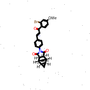 COc1ccc(C(=O)/C=C/c2ccc(N3C(=O)[C@@H]4[C@@H]5C=C[C@@H]([C@H]6C[C@@H]56)[C@@H]4C3=O)cc2)c(Br)c1